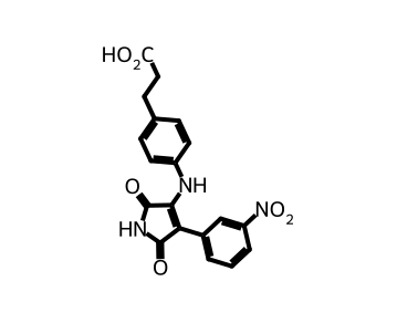 O=C(O)CCc1ccc(NC2=C(c3cccc([N+](=O)[O-])c3)C(=O)NC2=O)cc1